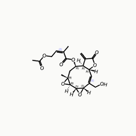 C=C1C(=O)O[C@@H]2/C=C(/CO)[C@@H]3O[C@@H]3[C@H]3O[C@]3(C)C[C@@H](OC(=O)/C(C)=C\COC(C)=O)[C@@H]12